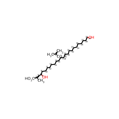 C=C(C)C(=O)O.CC(=CC(O)CCCCCCCCCCCCCCCCCCCCCO)C(=O)O